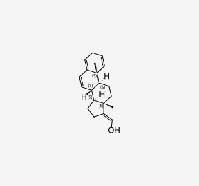 C[C@]12C=CCC=C1C=C[C@@H]1[C@@H]2CC[C@]2(C)C(=CO)CC[C@@H]12